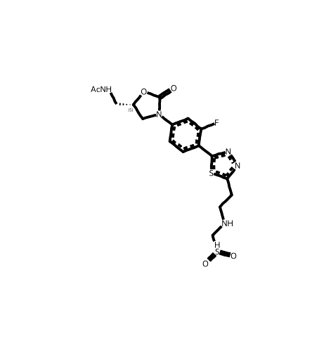 CC(=O)NC[C@H]1CN(c2ccc(-c3nnc(CCNC[SH](=O)=O)s3)c(F)c2)C(=O)O1